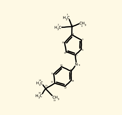 CC(C)(C)c1ccc([N]c2ccc(C(C)(C)C)cc2)cc1